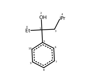 CCC(O)(CC(C)C)c1ccccc1